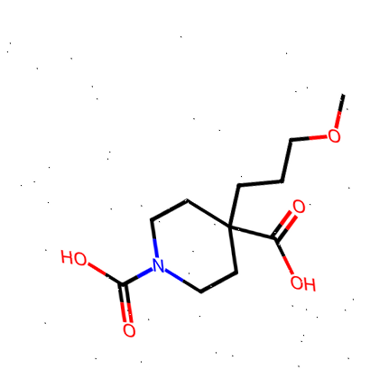 COCCCC1(C(=O)O)CCN(C(=O)O)CC1